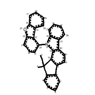 CC1(C)c2ccccc2-c2ccc3c4ccccc4n(-c4cccc5oc6ccccc6c45)c3c21